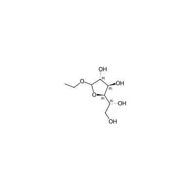 CCOC1O[C@H]([C@H](O)CO)[C@H](O)[C@H]1O